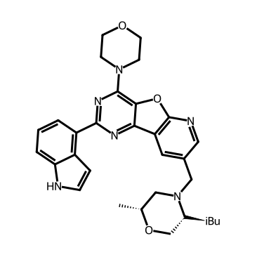 CC[C@H](C)[C@@H]1CO[C@H](C)CN1Cc1cnc2oc3c(N4CCOCC4)nc(-c4cccc5[nH]ccc45)nc3c2c1